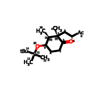 CC(=O)CC[C@@]1(C)C(=O)CCC(O[Si](C)(C)C(C)(C)C)[C@@H]1C